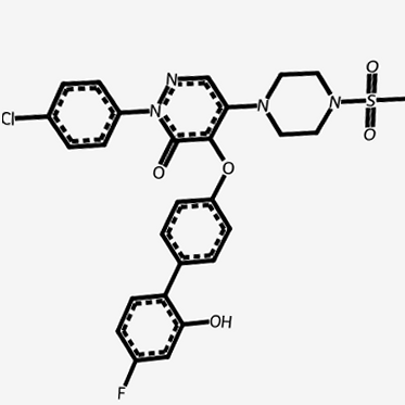 CS(=O)(=O)N1CCN(c2cnn(-c3ccc(Cl)cc3)c(=O)c2Oc2ccc(-c3ccc(F)cc3O)cc2)CC1